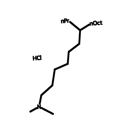 CCCCCCCCC(CCC)CCCCCCN(C)C.Cl